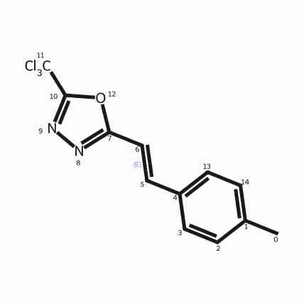 Cc1ccc(/C=C/c2nnc(C(Cl)(Cl)Cl)o2)cc1